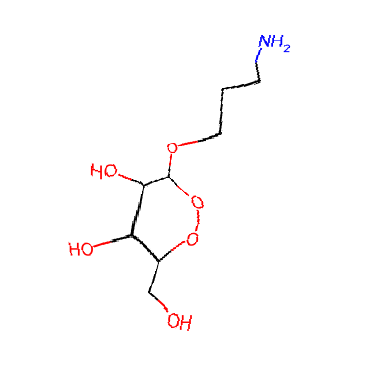 NCCCOC1OOC(CO)C(O)C1O